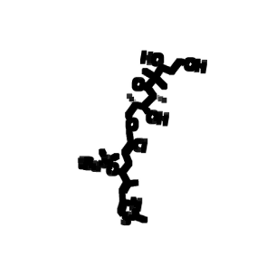 C/C(=C\c1csc(C)n1)C(C/C=C(\Cl)COC[C@H](C)[C@H](O)[C@@H](C)C(=O)C(C)(C)[C@@H](O)CCO)O[Si](C)(C)C(C)(C)C